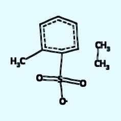 CC.Cc1ccccc1S([O])(=O)=O